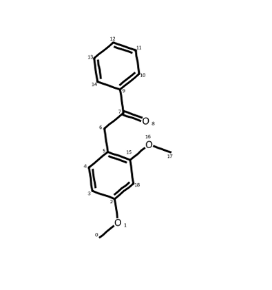 COc1ccc(CC(=O)c2ccccc2)c(OC)c1